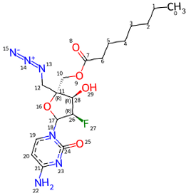 CCCCCCCC(=O)OC[C@@]1(CN=[N+]=[N-])OC(n2ccc(N)nc2=O)[C@H](F)[C@@H]1O